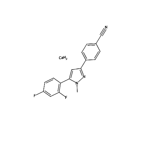 Cn1nc(-c2ccc(C#N)cc2)cc1-c1ccc(F)cc1F.[CaH2]